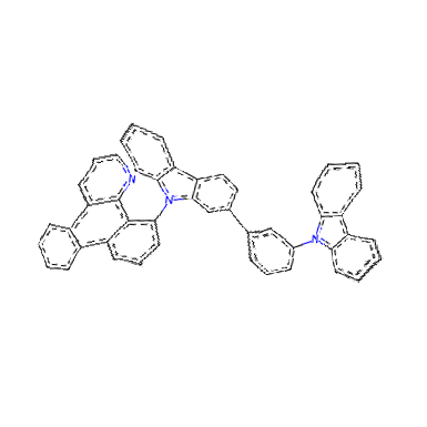 c1cc(-c2ccc3c4ccccc4n(-c4cccc5c6ccccc6c6cccnc6c45)c3c2)cc(-n2c3ccccc3c3ccccc32)c1